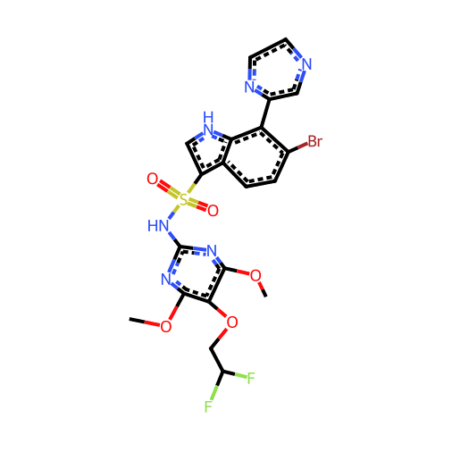 COc1nc(NS(=O)(=O)c2c[nH]c3c(-c4cnccn4)c(Br)ccc23)nc(OC)c1OCC(F)F